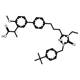 CCn1c(CCCc2ccc(-c3ccc(OC)c(C(C)C(=O)O)c3)cc2)nn(Cc2ccc(C(C)(C)C)cc2)c1=O